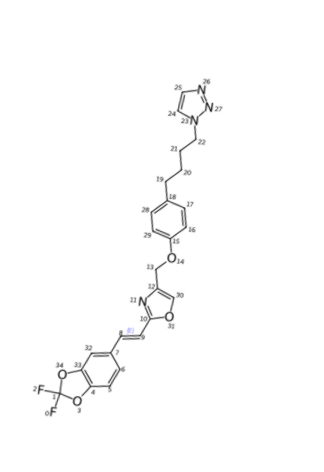 FC1(F)Oc2ccc(/C=C/c3nc(COc4ccc(CCCCn5ccnn5)cc4)co3)cc2O1